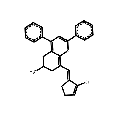 CC1=CCC/C1=C\C1=C2SC(c3ccccc3)=CC(c3ccccc3)=C2CC(C)C1